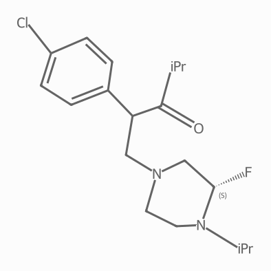 CC(C)C(=O)C(CN1CCN(C(C)C)[C@@H](F)C1)c1ccc(Cl)cc1